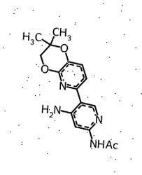 CC(=O)Nc1cc(N)c(-c2ccc3c(n2)OCC(C)(C)O3)cn1